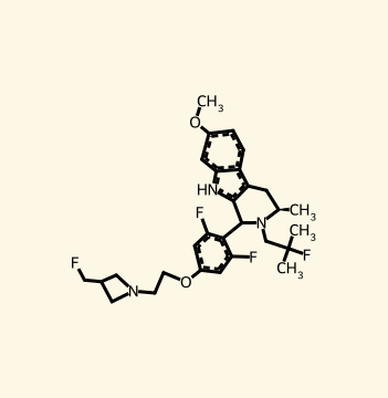 COc1ccc2c3c([nH]c2c1)C(c1c(F)cc(OCCN2CC(CF)C2)cc1F)N(CC(C)(C)F)[C@H](C)C3